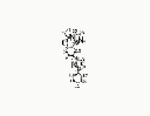 CCC(Oc1ccc(-c2csc(-c3ccccc3)n2)cc1)n1ccnc1